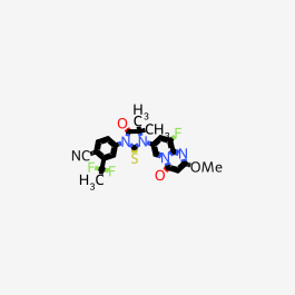 COc1cc(=O)n2cc(N3C(=S)N(c4ccc(C#N)c(C(C)(F)F)c4)C(=O)C3(C)C)cc(F)c2n1